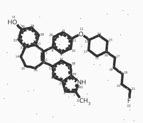 Cc1cc2cc(C3=C(c4ccc(OC5CCC(CCCCCF)CC5)cc4)c4ccc(O)cc4CCC3)ccc2[nH]1